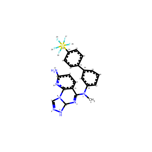 CN(C1=NC2NN=CN2c2nc(N)ccc21)c1cccc(-c2ccc(S(F)(F)(F)(F)F)cc2)c1